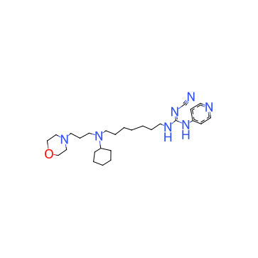 N#CN=C(NCCCCCCCN(CCCN1CCOCC1)C1CCCCC1)Nc1ccncc1